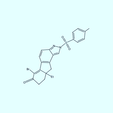 CCC12CCC(=O)C(Br)=C1c1ccc3nn(S(=O)(=O)c4ccc(C)cc4)cc3c1C2